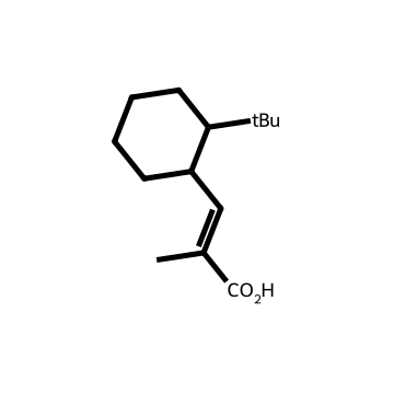 CC(=CC1CCCCC1C(C)(C)C)C(=O)O